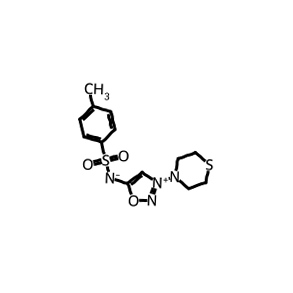 Cc1ccc(S(=O)(=O)[N-]c2c[n+](N3CCSCC3)no2)cc1